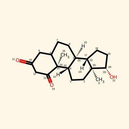 C[C@]12CC[C@H]3[C@@H](CCC4CC(=O)CC(=O)[C@@]43C)[C@@H]1CC[C@@H]2O